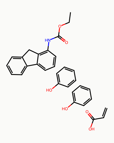 C=CC(=O)O.CCOC(=O)Nc1cccc2c1Cc1ccccc1-2.Oc1ccccc1.Oc1ccccc1